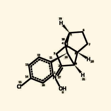 ON=C1CN2[C@@H]3CC[C@H]2[C@@H]1[C@H](c1ccc(Cl)cc1)C3